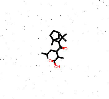 CC(C)CC(C(=O)C1C2(C)CCC(C2)C1(C)C)C(C)C(=O)O